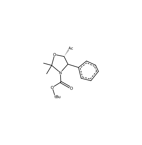 CC(=O)[C@H]1OC(C)(C)N(C(=O)OC(C)(C)C)C1c1ccccc1